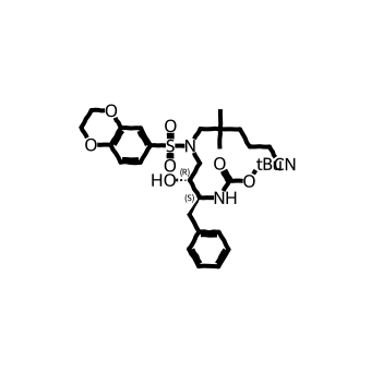 CC(C)(CCCC#N)CN(C[C@@H](O)[C@H](Cc1ccccc1)NC(=O)OC(C)(C)C)S(=O)(=O)c1ccc2c(c1)OCCO2